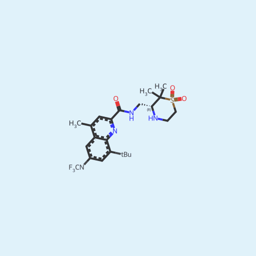 Cc1cc(C(=O)NC[C@H]2NCCS(=O)(=O)C2(C)C)nc2c(C(C)(C)C)cc(NC(F)(F)F)cc12